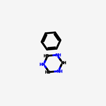 B1NBNBN1.c1ccccc1